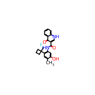 Cc1cc(C2(CF)CCC2)c(NC(=O)c2c[nH]c3ccccc3c2=O)cc1O